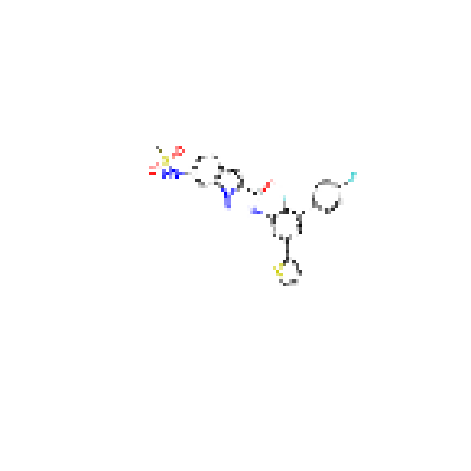 CS(=O)(=O)Nc1ccc2cc(C(=O)Nc3cc(-c4cccs4)cc(-c4ccc(F)cc4)c3F)[nH]c2c1